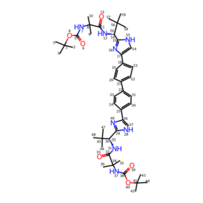 CC(C)(C)OC(=O)NC(C)(C)C(=O)N[C@H](c1nc(-c2ccc(-c3ccc(-c4c[nH]c([C@@H](NC(=O)C(C)(C)NC(=O)OC(C)(C)C)C(C)(C)C)n4)cc3)cc2)c[nH]1)C(C)(C)C